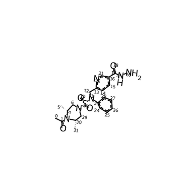 CC(=O)N1[C@H](C)CN(S(=O)(=O)N(Cc2ccc(C(=O)NN)cn2)c2ccccc2)C[C@@H]1C